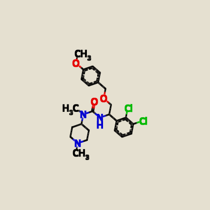 COc1ccc(COCC(NC(=O)N(C)C2CCN(C)CC2)c2cccc(Cl)c2Cl)cc1